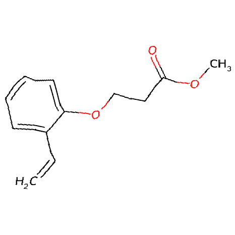 C=Cc1ccccc1OCCC(=O)OC